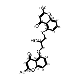 CC(=O)c1cc(=O)c2c(OCC(O)COc3cccc4oc(C(C)=O)cc(=O)c34)cccc2o1